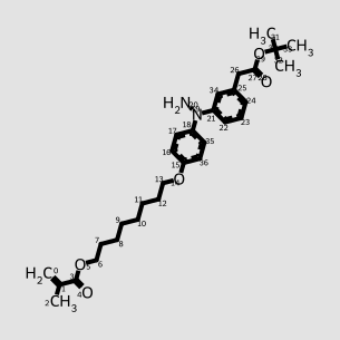 C=C(C)C(=O)OCCCCCCCCOc1ccc(N(N)c2cccc(CC(=O)OC(C)(C)C)c2)cc1